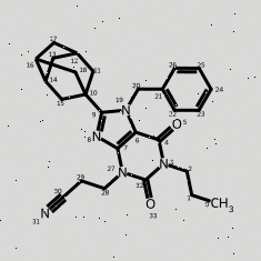 CCCn1c(=O)c2c(nc(C34CC5CC(C3)C(C5)C4)n2Cc2ccccc2)n(CCC#N)c1=O